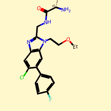 CCOCCn1c(CNC(=O)[C@H](C)N)nc2cc(Cl)c(-c3ccc(F)cc3)cc21